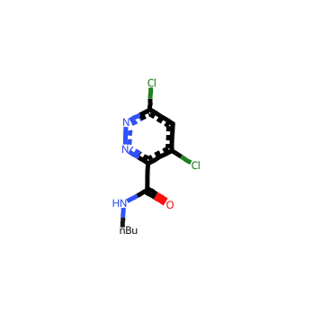 CCCCNC(=O)c1nnc(Cl)cc1Cl